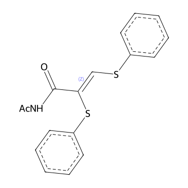 CC(=O)NC(=O)/C(=C/Sc1ccccc1)Sc1ccccc1